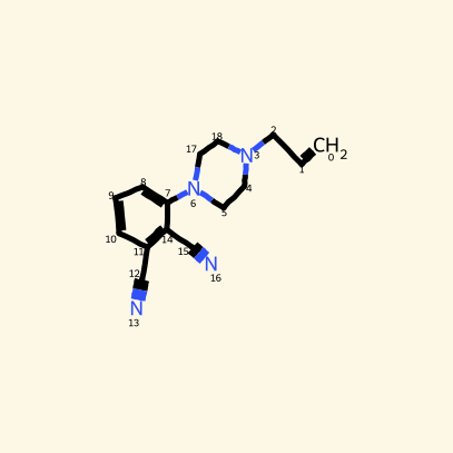 C=CCN1CCN(c2cccc(C#N)c2C#N)CC1